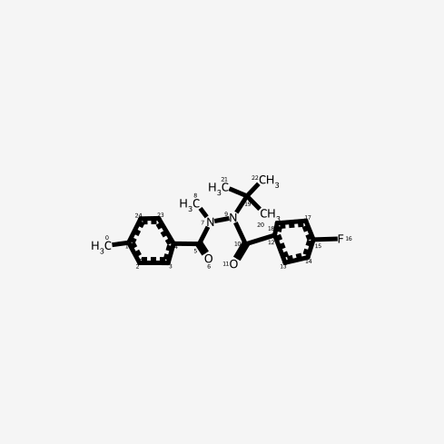 Cc1ccc(C(=O)N(C)N(C(=O)c2ccc(F)cc2)C(C)(C)C)cc1